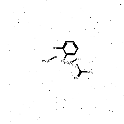 N=C(N)N.O=S(=O)(O)O.O=S(=O)(O)O.Oc1ccccc1Cl